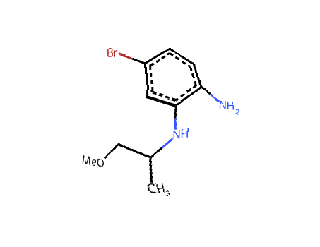 COCC(C)Nc1cc(Br)ccc1N